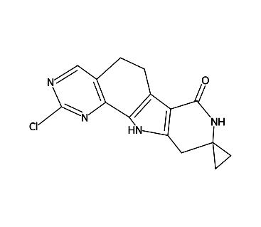 O=C1NC2(CC2)Cc2[nH]c3c(c21)CCc1cnc(Cl)nc1-3